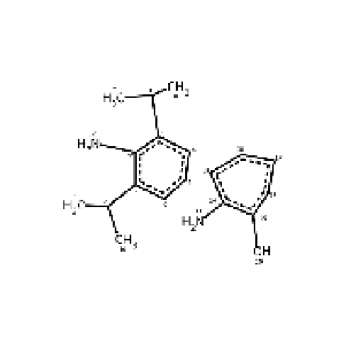 CC(C)c1cccc(C(C)C)c1N.Nc1ccccc1O